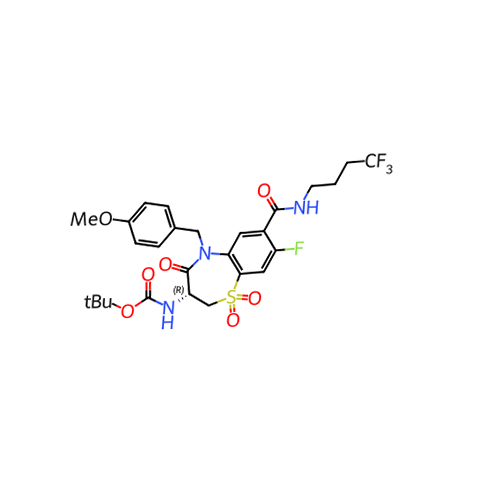 COc1ccc(CN2C(=O)[C@@H](NC(=O)OC(C)(C)C)CS(=O)(=O)c3cc(F)c(C(=O)NCCCC(F)(F)F)cc32)cc1